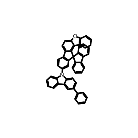 c1ccc2c(c#1)C1(c3ccccc3-2)c2cc(-n3c4ccccc4c4cc(-c5ccccc5)ccc43)ccc2-c2ccc3oc4c(c3c21)CCC=C4